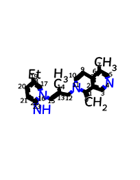 C=C1c2cncc(C)c2C=CN1C/C(C)=C/n1cc(CC)ccc1=N